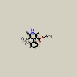 CC1=C(C(=O)OCCC#N)C(c2ccccc2C(F)(F)F)C([N+](=O)[O-])=C(C)N1